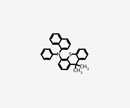 CC1(C)c2ccccc2Sc2c(N(c3ccccc3)c3cccc4ccccc34)cccc21